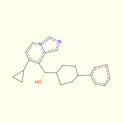 O[C@H](c1c(C2CC2)ccn2cncc12)C1CCC(c2ccccc2)CC1